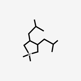 CC(C)CC1C[N+](C)(C)CC1CC(C)C